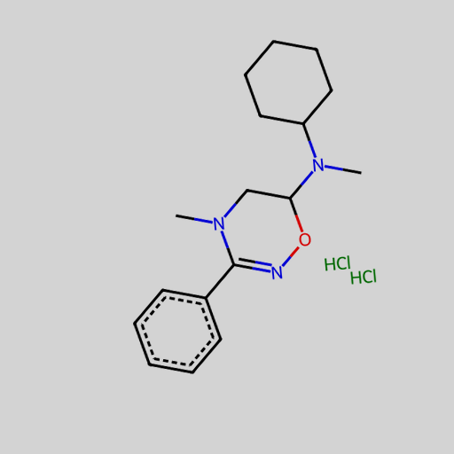 CN1CC(N(C)C2CCCCC2)ON=C1c1ccccc1.Cl.Cl